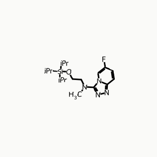 CC(C)[Si](OCCN(C)c1nnc2ccc(F)cn12)(C(C)C)C(C)C